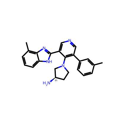 Cc1cccc(-c2cncc(-c3nc4c(C)cccc4[nH]3)c2N2CC[C@@H](N)C2)c1